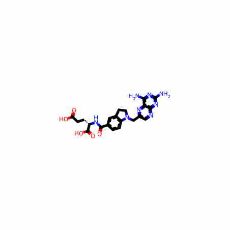 Nc1nc(N)c2nc(CN3CCc4cc(C(=O)N[C@@H](CCC(=O)O)C(=O)O)ccc43)cnc2n1